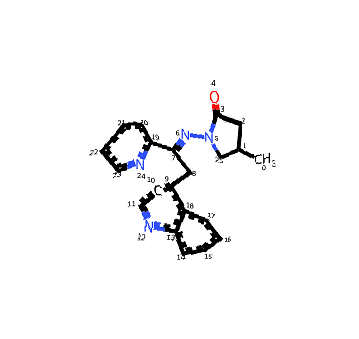 CC1CC(=O)N(/N=C(\Cc2ccnc3ccccc23)c2ccccn2)C1